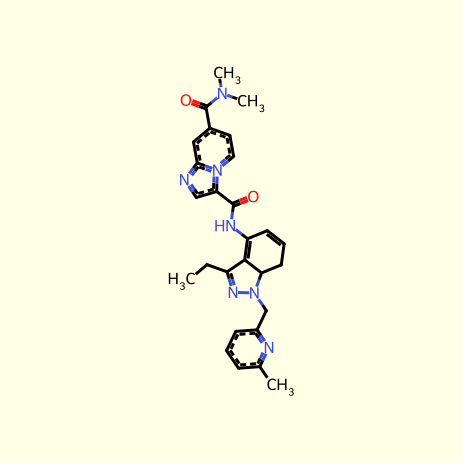 CCC1=NN(Cc2cccc(C)n2)C2CC=CC(NC(=O)c3cnc4cc(C(=O)N(C)C)ccn34)=C12